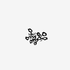 N#Cc1cc(-n2c3ccccc3c3c4sc5ccccc5c4c4c(c5ccccc5n4-c4ccccc4)c32)c2oc3ccccc3c2c1-c1nc(-c2ccccc2)nc(-c2ccccc2)n1